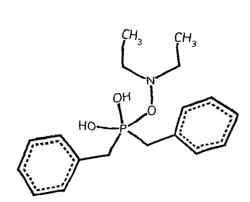 CCN(CC)OP(O)(O)(Cc1ccccc1)Cc1ccccc1